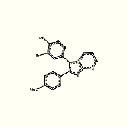 COc1ccc(-c2nc3ncccn3c2-c2ccc(SC)c(Br)c2)cc1